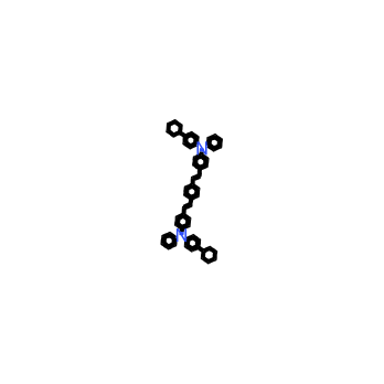 C(=C\c1ccc(N(c2ccccc2)c2ccc(C3CCCCC3)cc2)cc1)/c1ccc(/C=C/c2ccc(N(c3ccccc3)c3ccc(C4CCCCC4)cc3)cc2)cc1